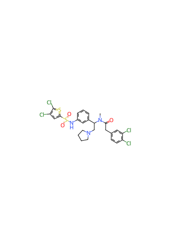 CN(C(=O)Cc1ccc(Cl)c(Cl)c1)C(CN1CCCC1)c1cccc(NS(=O)(=O)c2cc(Cl)c(Cl)s2)c1